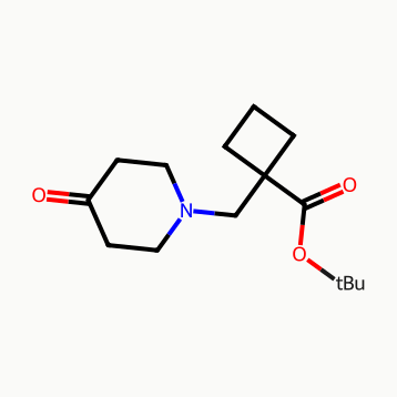 CC(C)(C)OC(=O)C1(CN2CCC(=O)CC2)CCC1